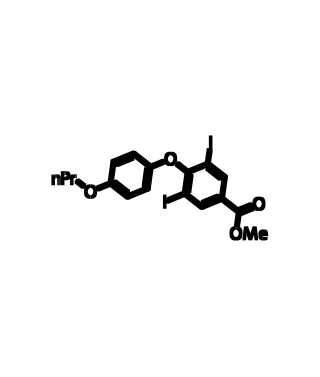 CCCOc1ccc(Oc2c(I)cc(C(=O)OC)cc2I)cc1